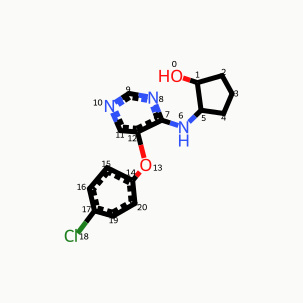 OC1CCCC1Nc1ncncc1Oc1ccc(Cl)cc1